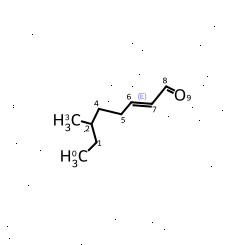 CCC(C)CC/C=C/C=O